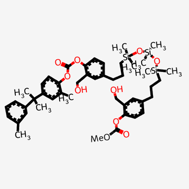 COC(=O)Oc1ccc(CCC[Si](C)(C)O[Si](C)(C)O[Si](C)(C)CCCc2ccc(OC(=O)Oc3ccc(C(C)(C)c4cccc(C)c4)cc3C)c(CO)c2)cc1CO